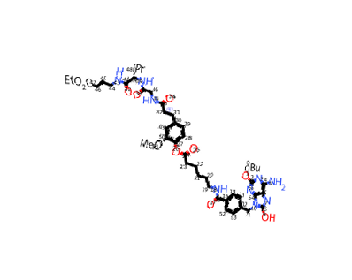 CCCCOc1nc(N)c2nc(O)n(Cc3ccc(C(=O)NCCCCCC(=O)Oc4ccc(/C=C/C(=O)NCC(=O)N[C@H](C(=O)NCCCC(=O)OCC)C(C)C)cc4OC)cc3)c2n1